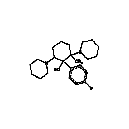 CC1(N2CCCCC2)CCCC(N2CCCCC2)C1(O)c1ccc(F)cc1